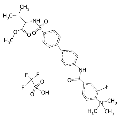 COC(=O)[C@@H](NS(=O)(=O)c1ccc(-c2ccc(NC(=O)c3ccc([N+](C)(C)C)c(F)c3)cc2)cc1)C(C)C.O=S(=O)(O)C(F)(F)F